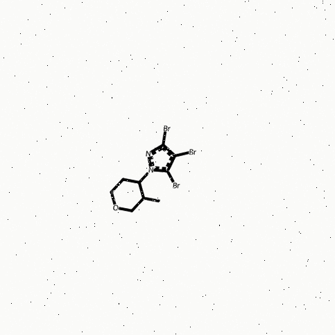 CC1COCCC1n1nc(Br)c(Br)c1Br